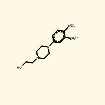 COc1cc(N2CCN(CCO)CC2)ccc1[N+](=O)[O-]